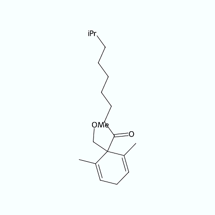 COCC1(C(=O)CCCCCCC(C)C)C(C)=CCC=C1C